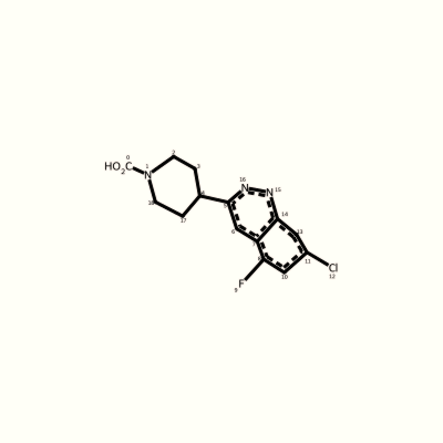 O=C(O)N1CCC(c2cc3c(F)cc(Cl)cc3nn2)CC1